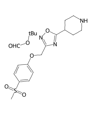 CC(C)(C)OC=O.CS(=O)(=O)c1ccc(OCc2noc(C3CCNCC3)n2)cc1